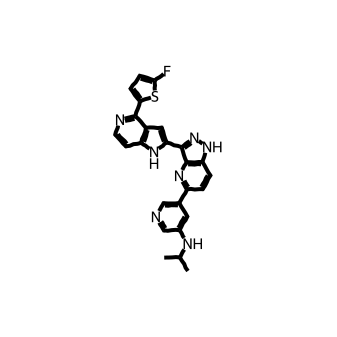 CC(C)Nc1cncc(-c2ccc3[nH]nc(-c4cc5c(-c6ccc(F)s6)nccc5[nH]4)c3n2)c1